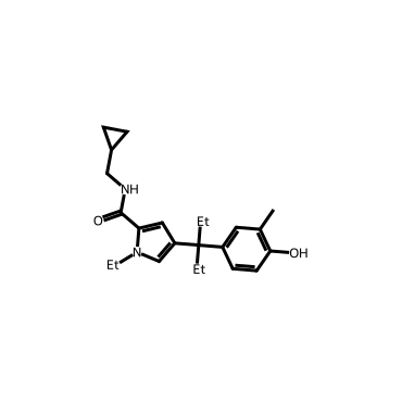 CCn1cc(C(CC)(CC)c2ccc(O)c(C)c2)cc1C(=O)NCC1CC1